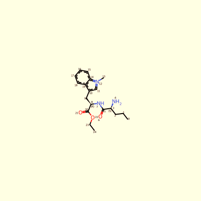 CCC[C@H](N)C(=O)N[C@H](Cc1cn(C)c2ccccc12)C(=O)OCC